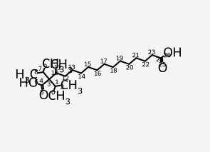 CC(C)C(C(=O)O)(C(C)C)C(C)CCCCCCCCCCCCC(=O)O